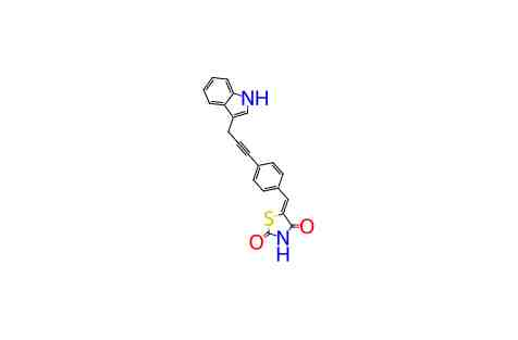 O=C1NC(=O)C(=Cc2ccc(C#CCc3c[nH]c4ccccc34)cc2)S1